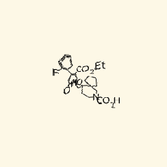 CCOC(=O)c1cn(CC2(O)CCN(C(=O)O)CC23CCCC3)c(=O)cc1-c1ccccc1F